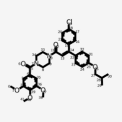 COc1cc(C(=O)N2CCN(C(=O)/C=C(\c3ccc(Cl)cc3)c3ccc(OCC(C)C)cc3)CC2)cc(OC)c1OC